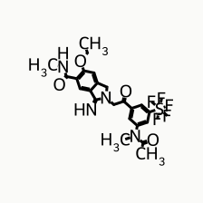 CCOc1cc2c(cc1C(=O)NC)C(=N)N(CC(=O)c1cc(N(C)C(C)=O)cc(S(F)(F)(F)(F)F)c1)C2